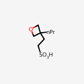 CCCC1(CCS(=O)(=O)O)COC1